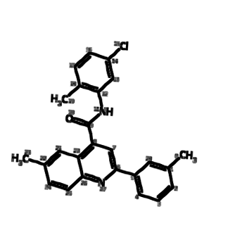 Cc1cccc(-c2cc(C(=O)Nc3cc(Cl)ccc3C)c3cc(C)ccc3n2)c1